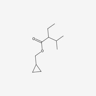 CCC(C(=O)OCC1CC1)C(C)C